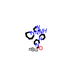 CCCCC(=O)N1CCCC(N2CCCC(Nc3nccc(N4CCCCCC4)n3)C2)C1